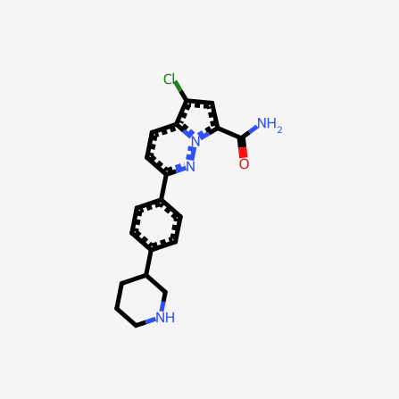 NC(=O)c1cc(Cl)c2ccc(-c3ccc(C4CCCNC4)cc3)nn12